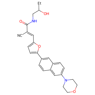 CCC(O)CNC(=O)/C(C#N)=C/c1ccc(-c2ccc3cc(N4CCOCC4)ccc3c2)o1